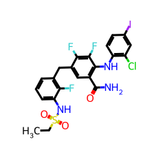 CCS(=O)(=O)Nc1cccc(Cc2cc(C(N)=O)c(Nc3ccc(I)cc3Cl)c(F)c2F)c1F